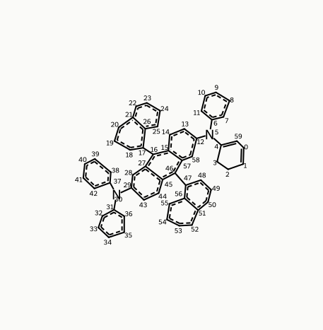 C1=CCCC(N(c2ccccc2)c2ccc3c(-c4cccc5ccccc45)c4cc(N(c5ccccc5)c5ccccc5)ccc4c(-c4cccc5ccccc45)c3c2)=C1